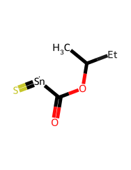 CCC(C)O[C](=O)[Sn]=[S]